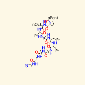 CCCCCCCC[C@@H](NC(=O)[C@H]1CCCN1C(=O)CCCCC)C(=O)N[C@H](CC(C)C)C(=O)NC(C)(C)C(=O)N[C@@H](CC(C)C)C(=O)N[C@@H](CC(C)C)C(=O)NC(C)(C)C(=O)NC(C)(C)C(=O)NCCC(=O)N[C@@H](C)CN(C)C